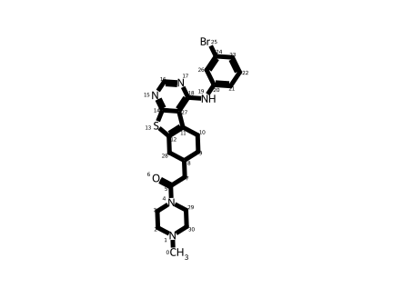 CN1CCN(C(=O)CC2CCc3c(sc4ncnc(Nc5cccc(Br)c5)c34)C2)CC1